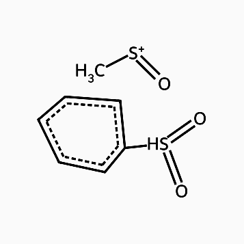 C[S+]=O.O=[SH](=O)c1ccccc1